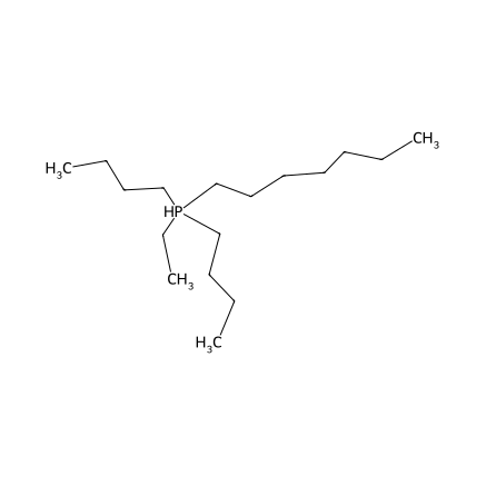 CCCCCCC[PH](CC)(CCCC)CCCC